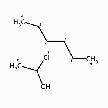 CC(O)Cl.CCCCCC